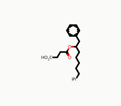 CC(C)CCCCCC(Cc1ccccc1)OC(=O)CCC(=O)O